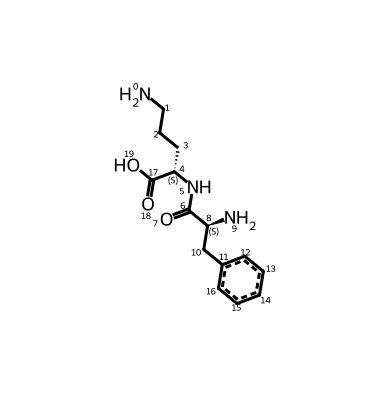 NCCC[C@H](NC(=O)[C@@H](N)Cc1ccccc1)C(=O)O